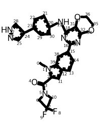 Cn1c(C(=O)N2CC(F)(F)C2)cc2ccc(-c3nc(Nc4ccc(-c5cn[nH]c5)cc4)c4c(n3)OCCO4)cc21